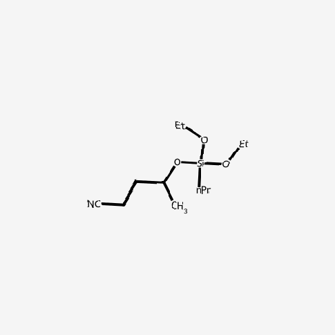 CCC[Si](OCC)(OCC)OC(C)CCC#N